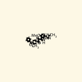 COc1cnc(-c2nc(C)n[nH]2)c2[nH]cc(C(=O)C(=O)N3CCN(C(=O)c4ccccc4)[C@H](C)C3)c12